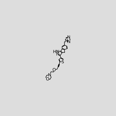 C(#Cc1cc(-c2n[nH]c3c2Cc2ccc(Cn4cncn4)cc2-3)cs1)COCCN1CCOCC1